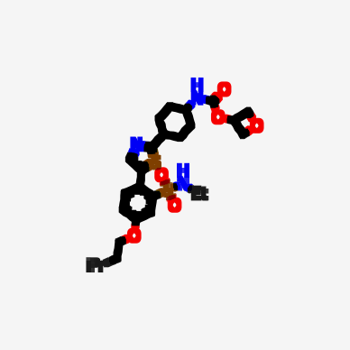 CCNS(=O)(=O)c1cc(OCCC(C)C)ccc1-c1cnc(C2CCC(NC(=O)OC3COC3)CC2)s1